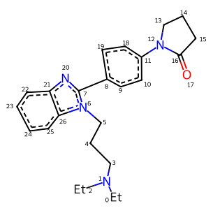 CCN(CC)CCCn1c(-c2ccc(N3CCCC3=O)cc2)nc2ccccc21